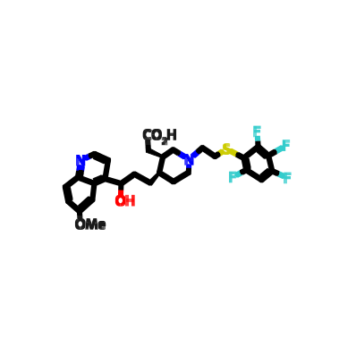 COc1ccc2nccc(C(O)CC[C@@H]3CCN(CCSc4c(F)cc(F)c(F)c4F)C[C@@H]3CC(=O)O)c2c1